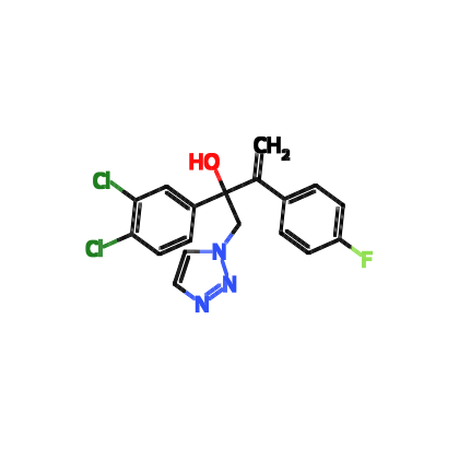 C=C(c1ccc(F)cc1)C(O)(Cn1ccnn1)c1ccc(Cl)c(Cl)c1